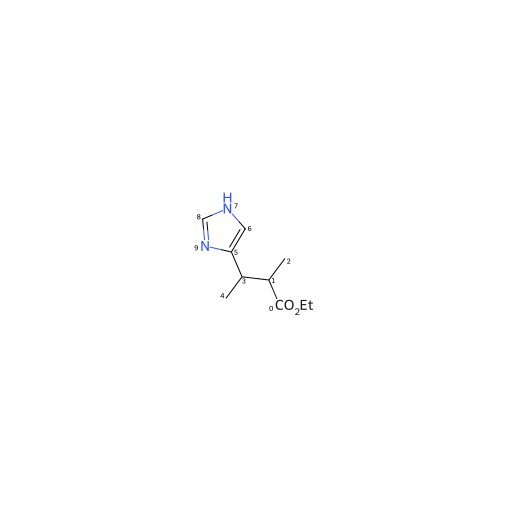 CCOC(=O)C(C)C(C)c1c[nH]cn1